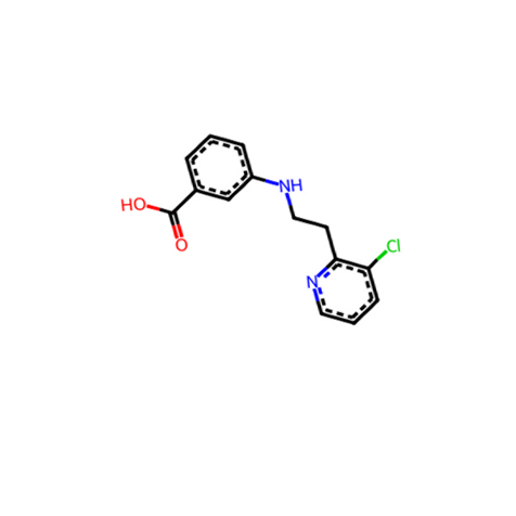 O=C(O)c1cccc(NCCc2ncccc2Cl)c1